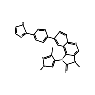 Cc1nn(C)cc1-n1c(=O)n(C)c2cnc3ccc(-c4ccc(-c5ncc[nH]5)cc4)cc3c21